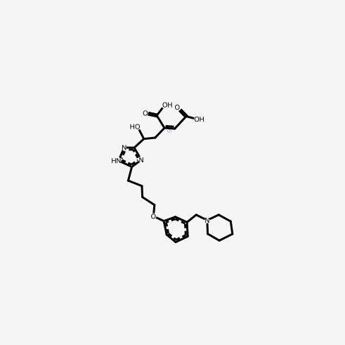 O=C(O)/C=C(/CC(O)c1n[nH]c(CCCCOc2cccc(CN3CCCCC3)c2)n1)C(=O)O